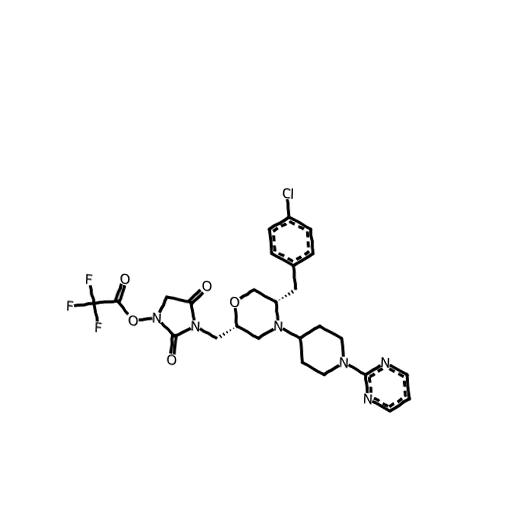 O=C1CN(OC(=O)C(F)(F)F)C(=O)N1C[C@H]1CN(C2CCN(c3ncccn3)CC2)[C@@H](Cc2ccc(Cl)cc2)CO1